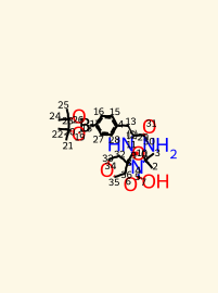 CC(C)(C)N(C(=O)O)C1(C(=O)N[C@@H](Cc2ccc(B3OC(C)(C)C(C)(C)O3)cc2)C(N)=O)CCOCC1